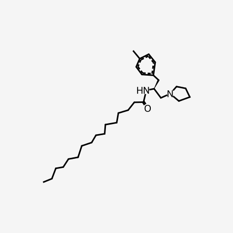 CCCCCCCCCCCCCCCC(=O)N[C@@H](Cc1ccc(C)cc1)CN1CCCC1